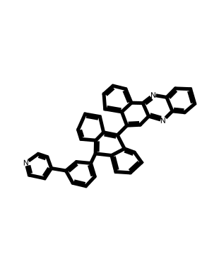 c1cc(-c2ccncc2)cc(-c2c3ccccc3c(-c3cc4nc5ccccc5nc4c4ccccc34)c3ccccc23)c1